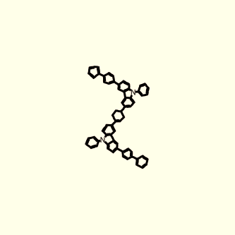 C1=C(c2ccc3c(c2)c2cc(-c4ccc(-c5ccccc5)cc4)ccc2n3-c2ccccc2)CCC(c2ccc3c(c2)c2cc(-c4ccc(-c5ccccc5)cc4)ccc2n3-c2ccccc2)C1